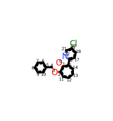 O=c1c(OCc2ccccc2)ccccc1-c1ccc(Cl)cn1